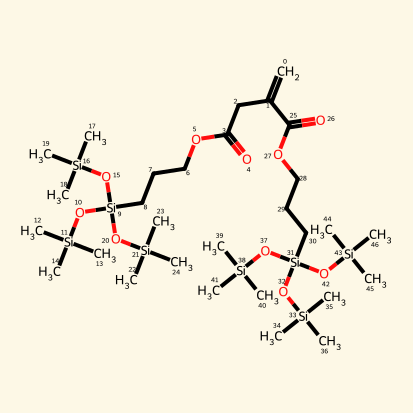 C=C(CC(=O)OCCC[Si](O[Si](C)(C)C)(O[Si](C)(C)C)O[Si](C)(C)C)C(=O)OCCC[Si](O[Si](C)(C)C)(O[Si](C)(C)C)O[Si](C)(C)C